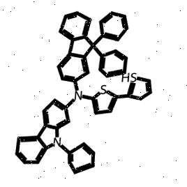 C1=C[SH]=C(c2ccc(N(c3ccc4c(c3)C(c3ccccc3)(c3ccccc3)c3ccccc3-4)c3ccc4c5ccccc5n(-c5ccccc5)c4c3)s2)C1